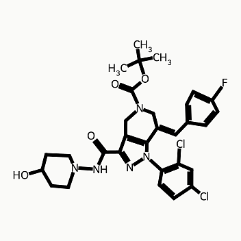 CC(C)(C)OC(=O)N1CC(=Cc2ccc(F)cc2)c2c(c(C(=O)NN3CCC(O)CC3)nn2-c2ccc(Cl)cc2Cl)C1